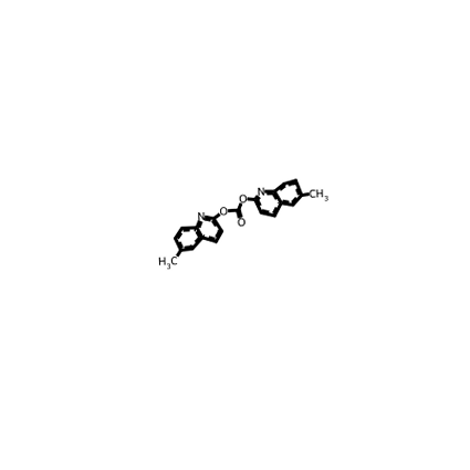 Cc1ccc2nc(OC(=O)Oc3ccc4cc(C)ccc4n3)ccc2c1